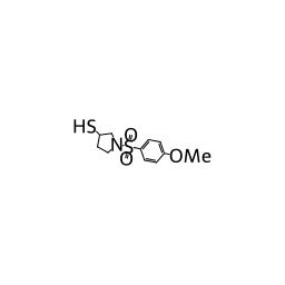 COc1ccc(S(=O)(=O)N2CCC(S)C2)cc1